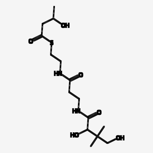 CC(O)CC(=O)SCCNC(=O)CCNC(=O)C(O)C(C)(C)CO